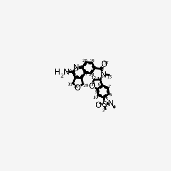 CN=S(C)(=O)c1ccc2c(c1)OC[C@H]2N(C)C(=O)c1ccc2nc(N)c3c(c2c1)COC3